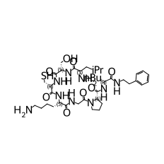 CCCC[C@@H](NC(=O)[C@@H]1CCCN1C(=O)CNC(=O)[C@H](CCCCN)NC(=O)[C@H](CS)NC(=O)[C@H](CO)NC(=O)[C@@H](N)CC(C)C)C(=O)NCCc1ccccc1